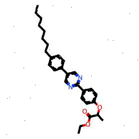 CCCCCCCCc1ccc(-c2cnc(-c3ccc(OC(C)C(=O)OCC)cc3)nc2)cc1